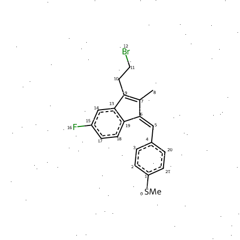 CSc1ccc(/C=C2/C(C)=C(CCBr)c3cc(F)ccc32)cc1